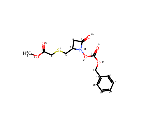 COC(=O)CSCC1CC(=O)N1OC(=O)OCc1ccccc1